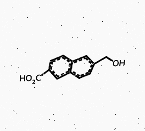 O=C(O)c1ccc2cc(CO)ccc2c1